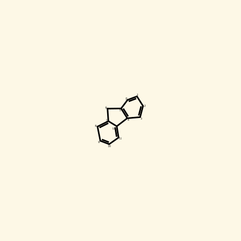 [c]1cccc2c1[CH]c1ccccc1-2